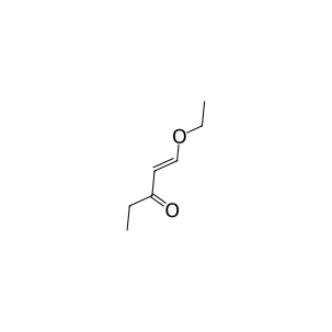 CCOC=CC(=O)CC